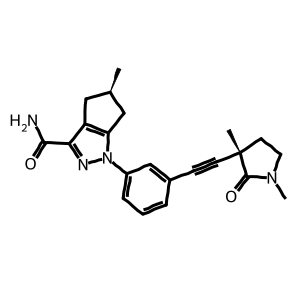 C[C@@H]1Cc2c(C(N)=O)nn(-c3cccc(C#C[C@]4(C)CCN(C)C4=O)c3)c2C1